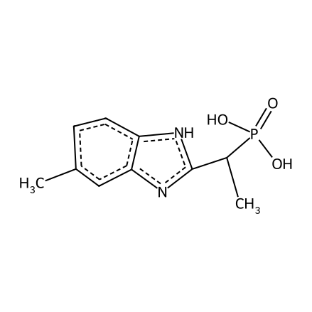 Cc1ccc2[nH]c(C(C)P(=O)(O)O)nc2c1